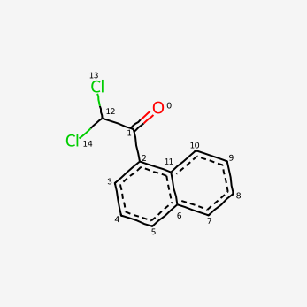 O=C(c1cccc2ccccc12)C(Cl)Cl